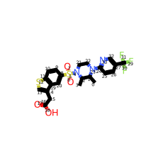 CC1C(C)N(S(=O)(=O)c2ccc3scc(CC(=O)O)c3c2)CCN1c1ccc(C(F)(F)F)cn1